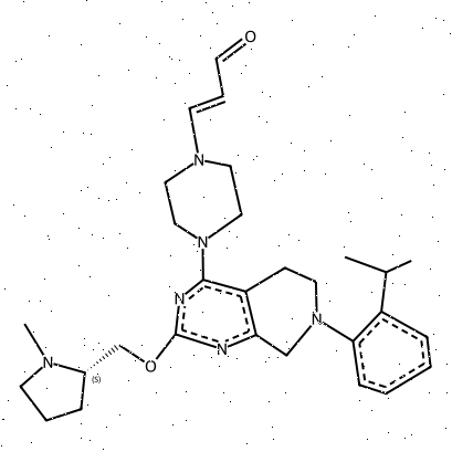 CC(C)c1ccccc1N1CCc2c(nc(OC[C@@H]3CCCN3C)nc2N2CCN(C=CC=O)CC2)C1